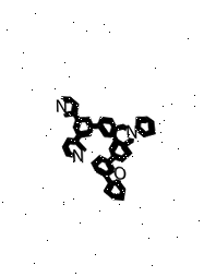 c1ccc(N2Cc3ccc(-c4cc(-c5cccnc5)cc(-c5cccnc5)c4)cc3-c3cc(-c4cccc5c4oc4ccccc45)ccc3C2)cc1